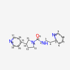 O=C(NCCc1ccccn1)N1CCC(c2ccncc2)C1